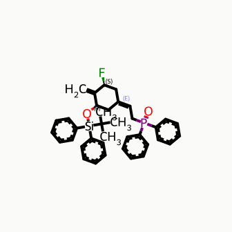 C=C1[C@@H](F)C/C(=C/CP(=O)(c2ccccc2)c2ccccc2)C[C@H]1O[Si](c1ccccc1)(c1ccccc1)C(C)(C)C